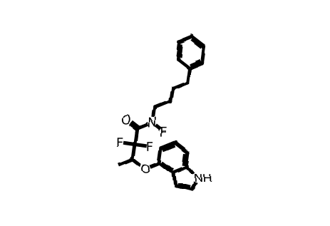 CC(Oc1cccc2[nH]ccc12)C(F)(F)C(=O)N(F)CCCCc1ccccc1